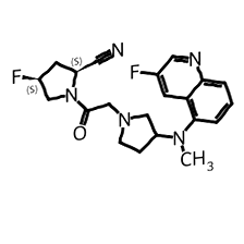 CN(c1cccc2ncc(F)cc12)C1CCN(CC(=O)N2C[C@@H](F)C[C@H]2C#N)C1